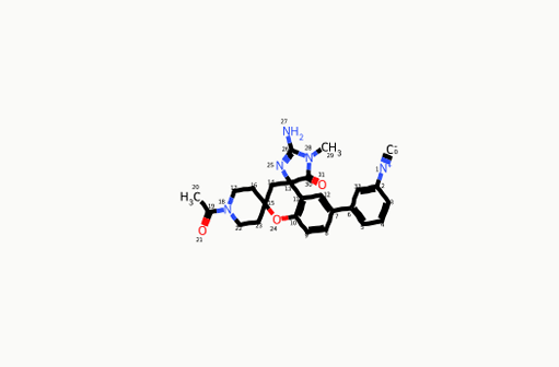 [C-]#[N+]c1cccc(-c2ccc3c(c2)C2(CC4(CCN(C(C)=O)CC4)O3)N=C(N)N(C)C2=O)c1